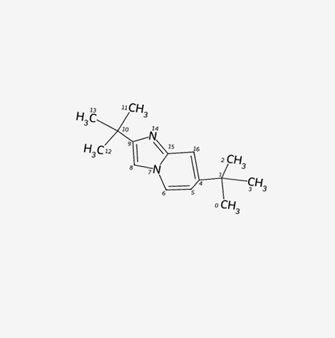 CC(C)(C)c1ccn2cc(C(C)(C)C)nc2c1